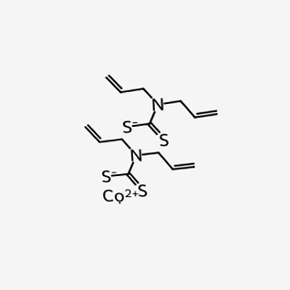 C=CCN(CC=C)C(=S)[S-].C=CCN(CC=C)C(=S)[S-].[Co+2]